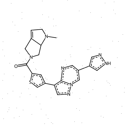 CN1CC=C2CN(C(=O)c3cc(-c4cnn5cc(-c6cn[nH]c6)cnc45)cs3)CC21